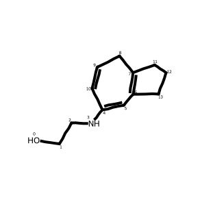 OCCNC1=CC2=C(CC=C1)CCC2